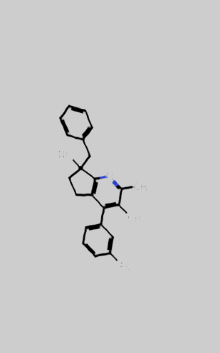 CC(=O)c1cccc(-c2c(C)c(C)nc3c2CCC3(C#N)Cc2ccccc2)c1